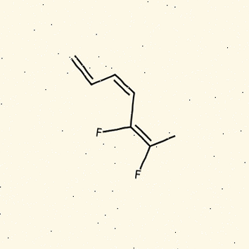 C=C/C=C\C(F)=C(/C)F